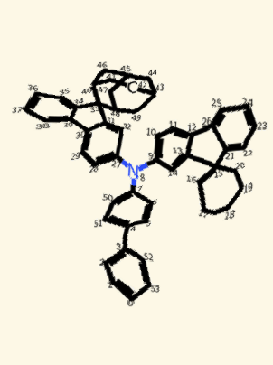 c1ccc(-c2ccc(N(c3ccc4c(c3)C3(CCCCC3)c3ccccc3-4)c3ccc4c(c3)C3(c5ccccc5-4)C4CCC5CC(C4)CC3C5)cc2)cc1